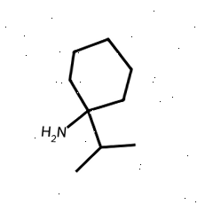 CC(C)C1(N)CCCCC1